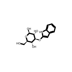 OC[C@H]1O[C@@H](O)[C@H](O)[C@@H](Oc2cc3ccccc3[nH]2)[C@@H]1O